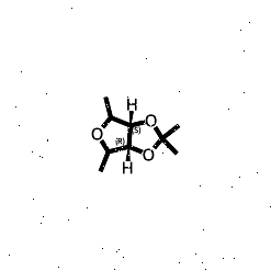 CC1OC(C)[C@@H]2OC(C)(C)O[C@H]12